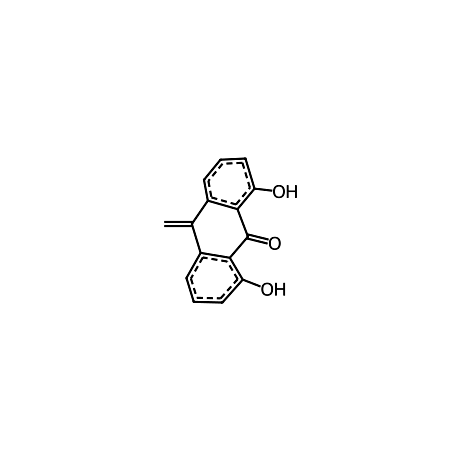 C=C1c2cccc(O)c2C(=O)c2c(O)cccc21